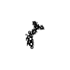 C[C@@H]1C[C@H]2[C@@H]3CC[C@@H]4CC(=O)C=C[C@]4(C)C3=CC[C@]2(C)[C@H]1C(=O)CN1CCN(c2cc(N3CCCC3)nc(N3CCCC3)n2)CC1